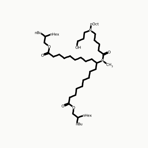 CCCCCCCCN(CCCO)CCCCC(=O)N(C)C(CCCCCCCCC(=O)OCC(CCCC)CCCCCC)CCCCCCCCC(=O)OCC(CCCC)CCCCCC